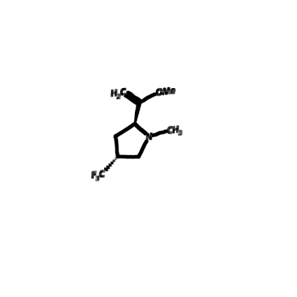 C=C(OC)[C@@H]1C[C@@H](C(F)(F)F)CN1C